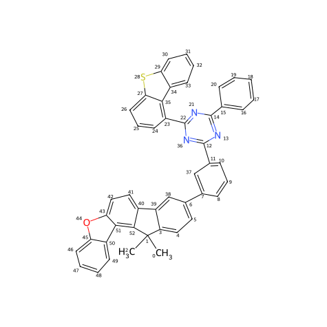 CC1(C)c2ccc(-c3cccc(-c4nc(-c5ccccc5)nc(-c5cccc6sc7ccccc7c56)n4)c3)cc2-c2ccc3oc4ccccc4c3c21